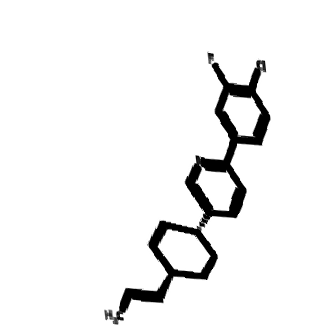 C/C=C/[C@H]1CC[C@H](c2ccc(-c3ccc(Cl)c(F)c3)nc2)CC1